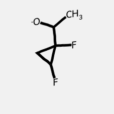 CC([O])C1(F)CC1F